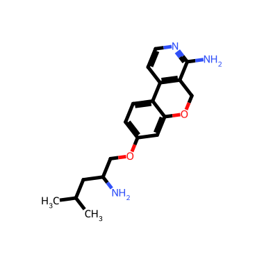 CC(C)CC(N)COc1ccc2c(c1)OCc1c-2ccnc1N